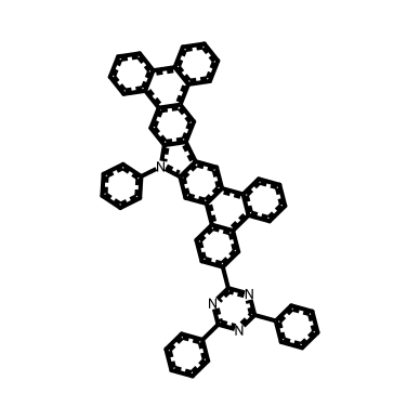 c1ccc(-c2nc(-c3ccccc3)nc(-c3ccc4c(c3)c3ccccc3c3cc5c6cc7c8ccccc8c8ccccc8c7cc6n(-c6ccccc6)c5cc43)n2)cc1